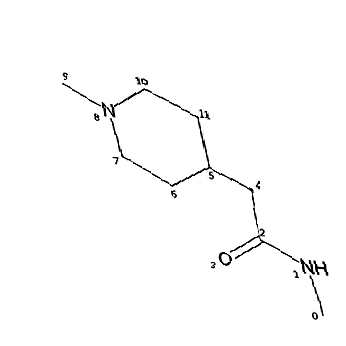 CNC(=O)CC1CCN(C)CC1